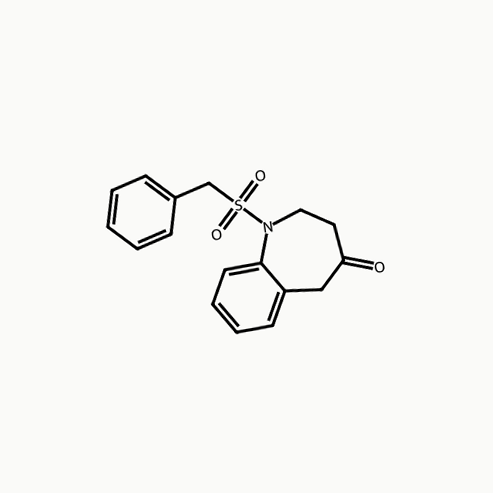 O=C1CCN(S(=O)(=O)Cc2ccccc2)c2ccccc2C1